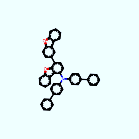 c1ccc(-c2ccc(N(c3ccc(-c4ccccc4)cc3)c3ccc(-c4ccc5oc6ccccc6c5c4)c4oc5ccccc5c34)cc2)cc1